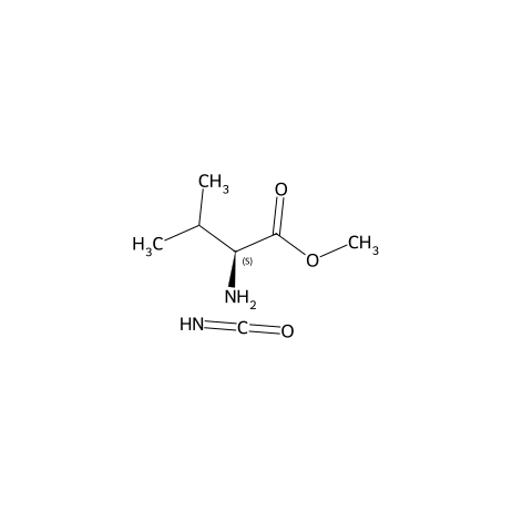 COC(=O)[C@@H](N)C(C)C.N=C=O